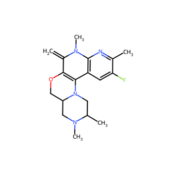 C=C1C2=C(c3cc(F)c(C)nc3N1C)N1CC(C)N(C)CC1CO2